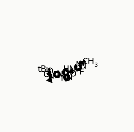 Cc1cn2cc(NC(=O)c3ccc(N4CCC(N(C(=O)OC(C)(C)C)C5CC5)CC4)c4nccnc34)cc(F)c2n1